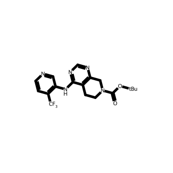 CC(C)(C)OC(=O)N1CCc2c(ncnc2Nc2cnccc2C(F)(F)F)C1